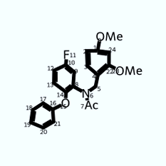 COc1ccc(CN(C(C)=O)c2cc(F)ccc2Oc2ccccc2)c(OC)c1